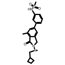 Cc1cc(-c2cccc(NS(C)(=O)=O)c2)cc2c1C(=O)N(N(C)CC1CCC1)C2